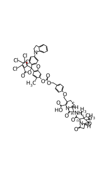 Cc1cc2c(cc1OC(=O)OCc1ccc(OCC3=C(C(=O)O)N4C(=O)[C@@H](NC(=O)[C@@H]5N6C(=O)C[C@H]6S(=O)(=O)C5(C)C)[C@H]4SC3)cc1)Oc1cc(N3CCc4ccccc43)ccc1C21OC(=O)c2c(Cl)c(Cl)c(Cl)c(Cl)c21